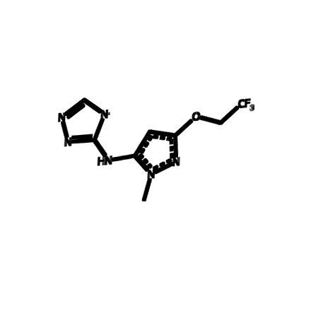 Cn1nc(OCC(F)(F)F)cc1NC1=NN=C[N]1